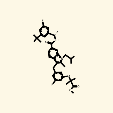 COC(=O)C(C)(C)Oc1cc(F)cc(Cc2c(C)n(CC(C)C)c3cc(C(=O)N[C@@H](C)c4cc(F)cc(C(C)(C)C)c4)ccc23)c1